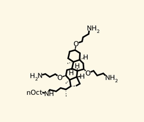 CCCCCCCCNCCC[C@@H](C)[C@H]1CC[C@H]2[C@@H]3[C@H](OCCCN)C[C@@H]4C[C@H](OCCCN)CC[C@]4(C)[C@H]3C[C@H](OCCCN)[C@]12C